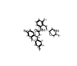 [CH2][C@H]1CO[C@H](CCc2c(F)cccc2NC(=O)C[C@@H](c2ccc(F)cc2)c2ccc(F)cc2F)CN1